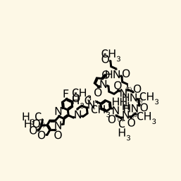 CC[C@@]1(O)C(=O)OCc2c1cc1n(c2=O)Cc2c-1nc1cc(F)c(OC)cc1c2CN1CCC([N+](C)(C)Cc2ccc(NC(=O)[C@H](C)NC(=O)[C@H](C)NC(=O)[C@H](C)NC(=O)[C@H](CCC(=O)NCCCOC)NC(=O)CCCN3C(=O)C=CC3=O)cc2)CC1